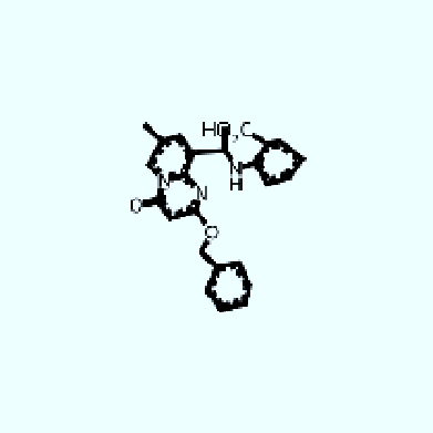 Cc1cc(C(C)Nc2ccccc2C(=O)O)c2nc(OCc3ccccc3)cc(=O)n2c1